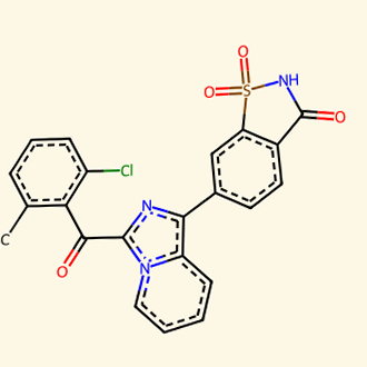 O=C1NS(=O)(=O)c2cc(-c3nc(C(=O)c4c(Cl)cccc4C(F)(F)F)n4ccccc34)ccc21